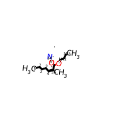 CCCCC=C(C)C(=O)OCCCC.[N]